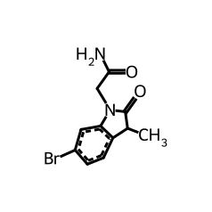 CC1C(=O)N(CC(N)=O)c2cc(Br)ccc21